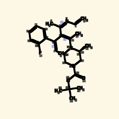 C=C\N=C(C)/C(C(=C\C)/c1ccccc1F)=C(\C)N1CCN(C(=O)OC(C)(C)C)C[C@@H]1C